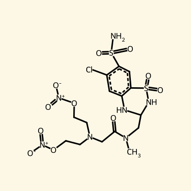 CN(CC1Nc2cc(Cl)c(S(N)(=O)=O)cc2S(=O)(=O)N1)C(=O)CN(CCO[N+](=O)[O-])CCO[N+](=O)[O-]